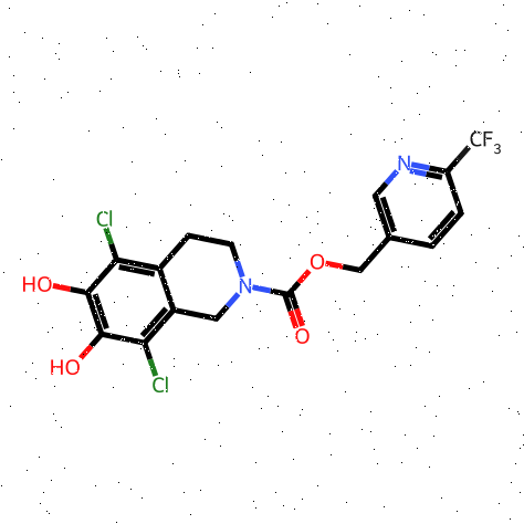 O=C(OCc1ccc(C(F)(F)F)nc1)N1CCc2c(Cl)c(O)c(O)c(Cl)c2C1